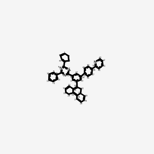 C1=CCCC(c2nc(-c3ccccc3)nc(-c3cc(C4=C5C=CCCC5=C5C=CC=CC5C4)cc(-c4ccc(-c5ccccn5)cc4)c3)n2)=C1